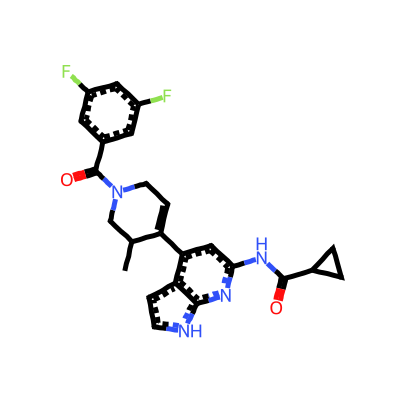 CC1CN(C(=O)c2cc(F)cc(F)c2)CC=C1c1cc(NC(=O)C2CC2)nc2[nH]ccc12